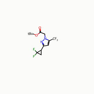 CC(C)(C)OC(=O)Cn1nc(C2CC2(F)F)cc1C(F)(F)F